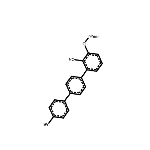 CCCCCOc1cccc(-c2ccc(-c3ccc(CCC)cc3)cc2)c1C#N